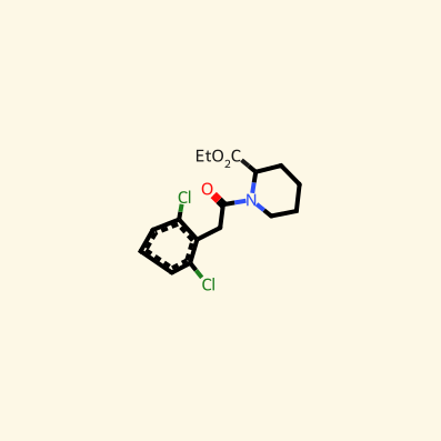 CCOC(=O)C1CCCCN1C(=O)Cc1c(Cl)cccc1Cl